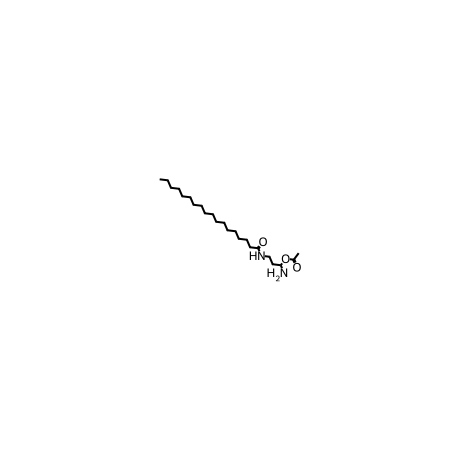 CCCCCCCCCCCCCCCCCC(=O)NCCC(N)OC(C)=O